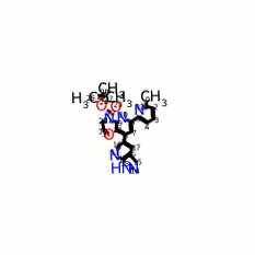 Cc1cccc(-c2cc(-c3cnc4[nH]ncc4c3)c3c(n2)N(C(=O)OC(C)(C)C)CCO3)n1